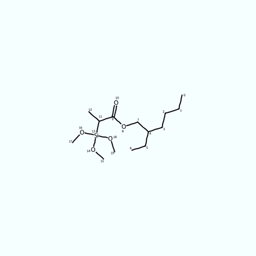 CCCCC(CC)COC(=O)C(C)[Si](OC)(OC)OC